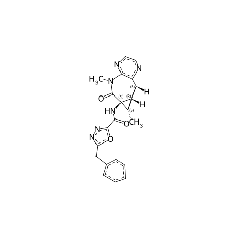 CN1C(=O)[C@]2(NC(=O)c3nnc(Cc4ccccc4)o3)[C@@H]3[C@H](c4nccnc41)[C@]32C